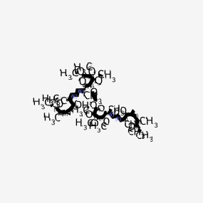 CC[C@H](OC)[C@@H](C)[C@H]1CC1[C@@H](O)[C@H](C)/C=C/C=C(\C)[C@@H]1O[C@H](OCCO[C@H]2[C@H](OC)[C@@H](OC)[C@@H](OC)O[C@H]2/C(C)=C/C=C/[C@H](C)[C@@H](O)[C@@H]2C[C@H]2[C@H](C)[C@H](CC)OC)[C@H](OC)[C@@H](OC)[C@@H]1OC